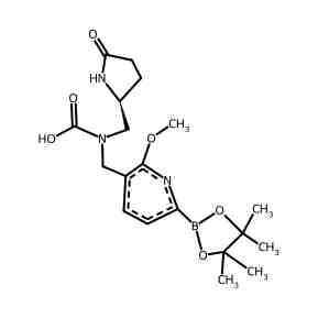 COc1nc(B2OC(C)(C)C(C)(C)O2)ccc1CN(C[C@@H]1CCC(=O)N1)C(=O)O